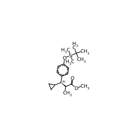 COC(=O)C(C)[C@H](c1ccc(O[Si](C)(C)C(C)(C)C)cc1)C1CC1